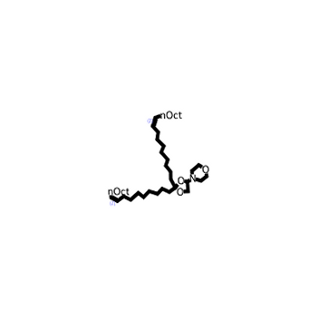 CCCCCCCC/C=C\CCCCCCCCC1(CCCCCCCC/C=C\CCCCCCCC)OCC(N2CCOCC2)O1